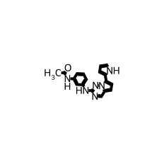 CC(=O)Nc1cccc(Nc2ncc3ccc(-c4ccc[nH]4)n3n2)c1